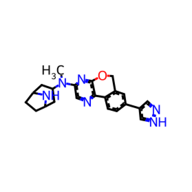 CN(c1cnc2c(n1)OCc1cc(-c3cn[nH]c3)ccc1-2)C1CC2CCC(C1)N2